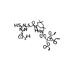 C=CC(=O)OCC(COC(=O)C=C)(COC(=O)C=C)COC(=O)NCC1(C)CC(NC(=O)CSc2nc(S)nc(SCC(=O)O)n2)CC(C)(C)C1